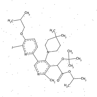 Cc1ncc(-c2ccc(OCC(C)C)c(I)n2)c(N2CCC(C)(C)CC2)c1C(OC(C)(C)C)C(=O)OC(C)C